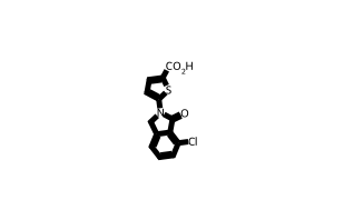 O=C(O)c1ccc(N2Cc3cccc(Cl)c3C2=O)s1